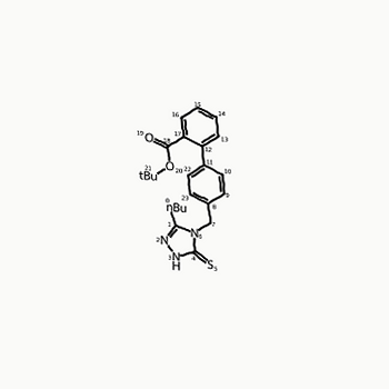 CCCCc1n[nH]c(=S)n1Cc1ccc(-c2ccccc2C(=O)OC(C)(C)C)cc1